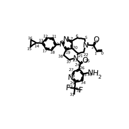 C=CC(=O)N1CCc2nn(-c3ccc(C4CC4)cc3)c3c2C(C1)N(C(=O)c1cnc(C(C)(F)F)cc1N)CC3